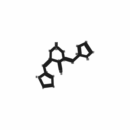 O=C1/C(=C\c2cccs2)CNC/C1=C\c1cccs1